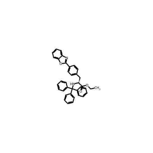 CCOC(=O)[C@H](Cc1ccc(-c2nc3ccccc3o2)cc1)NC(c1ccccc1)(c1ccccc1)c1ccccc1